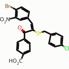 O=C(O)c1ccc(C(=O)/C(=C\c2ccc(Br)c([N+](=O)[O-])c2)SCc2ccc(Cl)cc2)cc1